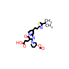 CC(C)c1csc(C=Cc2ccn3c(=O)c(C=CC(=O)O)c(N4CCC[C@@H](OC=O)C4)nc3c2)n1